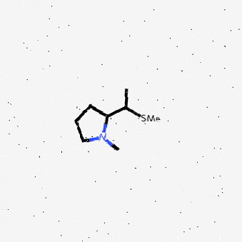 CSC(C)C1CCCN1C